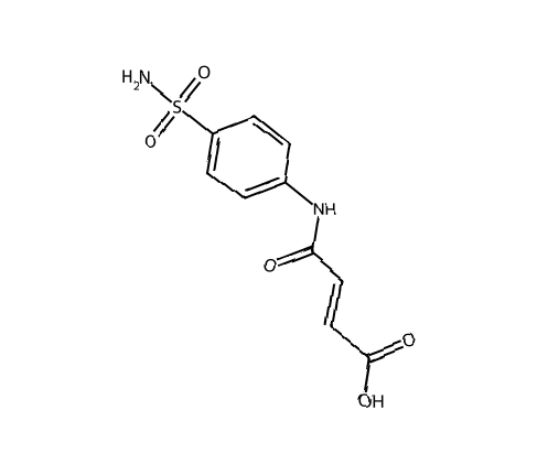 NS(=O)(=O)c1ccc(NC(=O)C=CC(=O)O)cc1